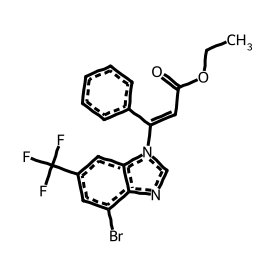 CCOC(=O)/C=C(\c1ccccc1)n1cnc2c(Br)cc(C(F)(F)F)cc21